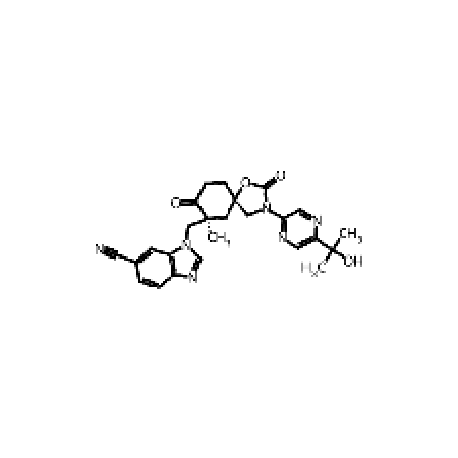 CC(C)(O)c1cnc(N2C[C@@]3(CCC(=O)[C@](C)(Cn4cnc5ccc(C#N)cc54)C3)OC2=O)cn1